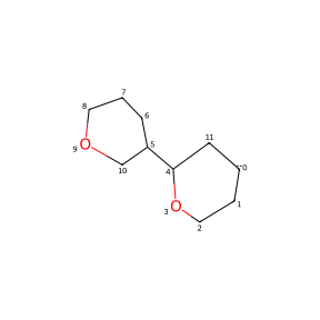 [C]1CCOC(C2CCCOC2)C1